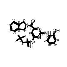 CC(C)(C)CC(C)(C)Nc1cc(C(=O)N2Cc3ccccc3C2)nc(Nc2ccccc2O)n1